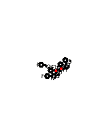 COc1ccccc1-c1nccc(COc2ccccc2C[C@@H](Oc2nsc3cnc(-c4ccc(F)cc4)c(-c4ccc(OCCC5CCN(C)CC5)c(Cl)c4C)c23)C(=O)O)n1